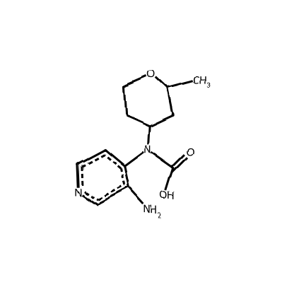 CC1CC(N(C(=O)O)c2ccncc2N)CCO1